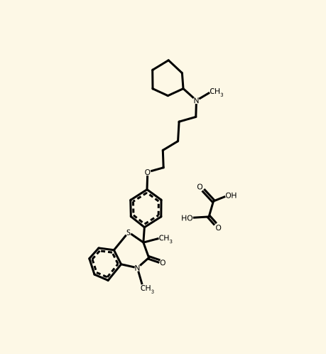 CN1C(=O)C(C)(c2ccc(OCCCCCN(C)C3CCCCC3)cc2)Sc2ccccc21.O=C(O)C(=O)O